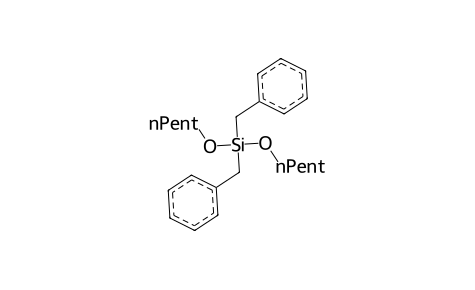 CCCCCO[Si](Cc1ccccc1)(Cc1ccccc1)OCCCCC